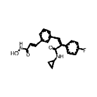 O=C(C=Cc1cccc(C=C(C(=O)NC2CC2)c2ccc(F)cc2)c1)NO